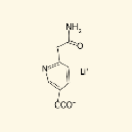 NC(=O)Cc1ccc(C(=O)[O-])cn1.[Li+]